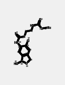 CC(C)(C)OC(=O)NCCSC(=S)Nc1cc2c(cc1Cl)COB2O